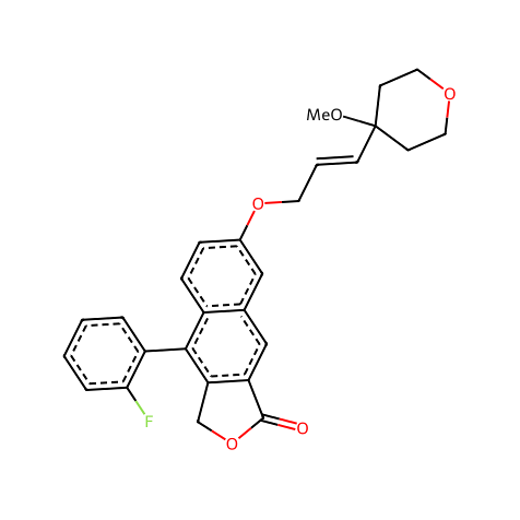 COC1(C=CCOc2ccc3c(-c4ccccc4F)c4c(cc3c2)C(=O)OC4)CCOCC1